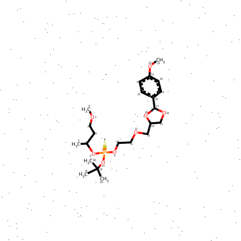 COCCC(C)OP(=S)(OCCOCC1COC(c2ccc(OC)cc2)O1)OC(C)(C)C